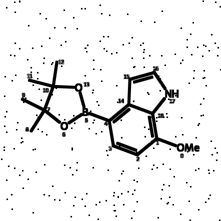 COc1ccc(B2OC(C)(C)C(C)(C)O2)c2cc[nH]c12